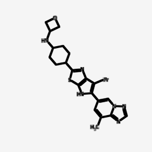 Cc1cc(-c2[nH]c3sc(C4CCC(NC5COC5)CC4)nc3c2C(C)C)cn2ncnc12